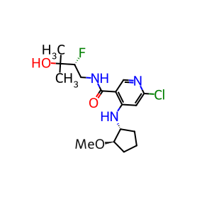 CO[C@@H]1CCC[C@H]1Nc1cc(Cl)ncc1C(=O)NC[C@@H](F)C(C)(C)O